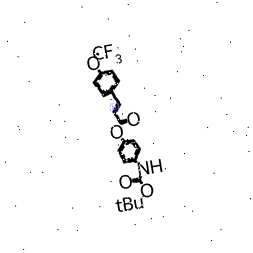 CC(C)(C)OC(=O)Nc1ccc(OC(=O)/C=C/c2ccc(OC(F)(F)F)cc2)cc1